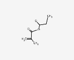 C=C(C)C(=O)OC([O])CC